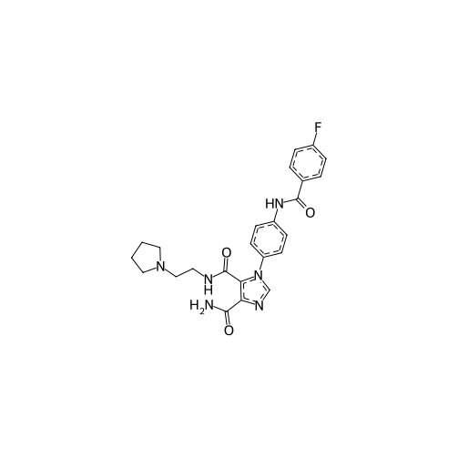 NC(=O)c1ncn(-c2ccc(NC(=O)c3ccc(F)cc3)cc2)c1C(=O)NCCN1CCCC1